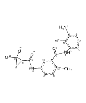 Nc1cccc(NC(=O)c2cc(NC(=O)C3CC3(Cl)Cl)ccc2Cl)c1F